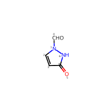 O=Cn1ccc(=O)[nH]1